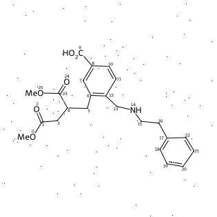 COC(=O)CC(Cc1cc(C(=O)O)ccc1CNCCc1ccccc1)C(=O)OC